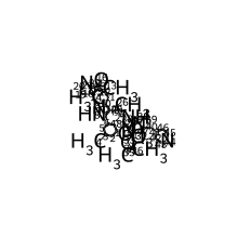 Cc1cc(C)cc(-c2[nH]nc(CC(C)(C)C(=O)C3C4CCN3CC4)c2[C@H](C)CNC(=NC(=O)OC(C)C)N2CCC(c3ccncc3)C2)c1